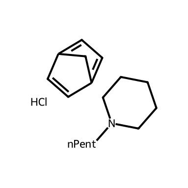 C1=CC2=CC=C1C2.CCCCCN1CCCCC1.Cl